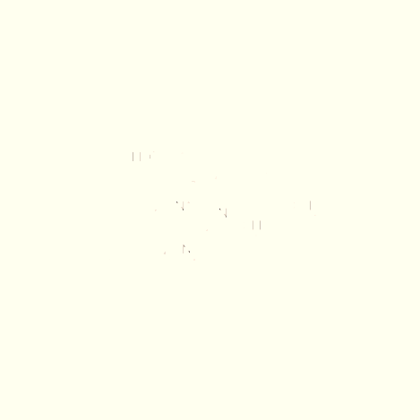 C=C/C=C\c1c(CC)n2c3ccccc3nc2n1C